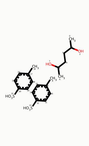 CC(O)CCC(C)O.Cc1ccc(S(=O)(=O)O)cc1.Cc1ccc(S(=O)(=O)O)cc1